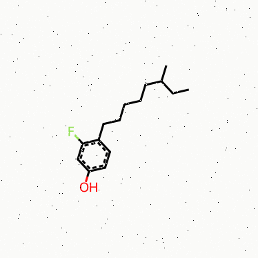 CCC(C)CCCCCc1ccc(O)cc1F